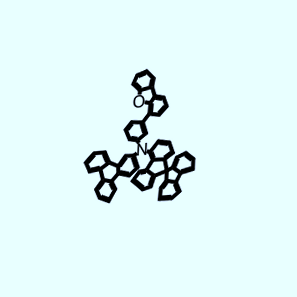 c1cc(-c2cccc3c2oc2ccccc23)cc(N(c2ccc3c4ccccc4c4ccccc4c3c2)c2cccc3c2-c2ccccc2C32c3ccccc3-c3ccccc32)c1